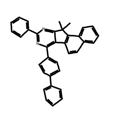 CC1(C)c2nc(-c3ccccc3)nc(-c3ccc(-c4ccccc4)cc3)c2-c2ccc3ccccc3c21